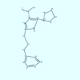 CC(C)c1nc(CCCc2ccccc2)sc1N1CCCC1